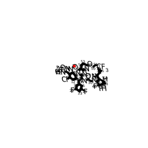 Cn1nc(NS(C)(=O)=O)c2c(Cl)ccc(-n3c([C@H](Cc4cc(F)cc(F)c4)NC(=O)Cn4nc(C5CC5)c5c4C(F)(F)[C@@H]4C[C@H]54)nc4nc(OCCC(F)(F)F)ccc4c3=O)c21